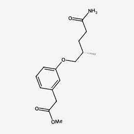 COC(=O)Cc1cccc(OC[C@@H](C)CCC(N)=O)c1